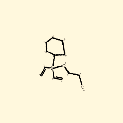 C=C[Si](C=C)(OCCCl)C1CCCCC1